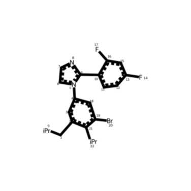 CC(C)Cc1cc(-n2ccnc2-c2ccc(F)cc2F)cc(Br)c1C(C)C